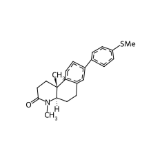 CSc1ccc(-c2ccc3c(c2)CC[C@H]2N(C)C(=O)CC[C@]32C)cc1